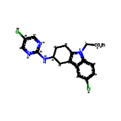 CCOC(=O)Cn1c2c(c3cc(Cl)ccc31)CC(Nc1ncc(Cl)cn1)CC2